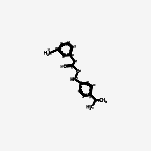 CC(C)c1ccc(NOC(=O)Cc2cccc(N)c2)cc1